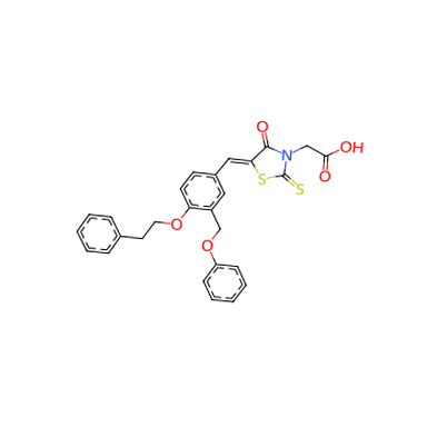 O=C(O)CN1C(=O)C(=Cc2ccc(OCCc3ccccc3)c(COc3ccccc3)c2)SC1=S